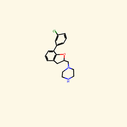 Clc1cccc(-c2cccc3c2OC(CN2CCNCC2)C3)c1